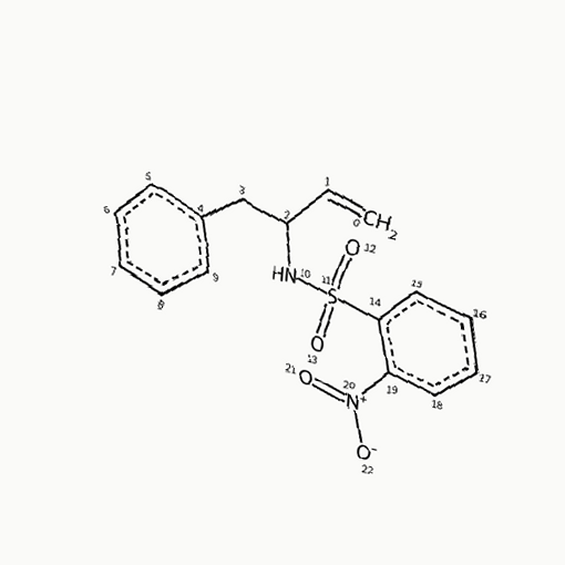 C=CC(Cc1ccccc1)NS(=O)(=O)c1ccccc1[N+](=O)[O-]